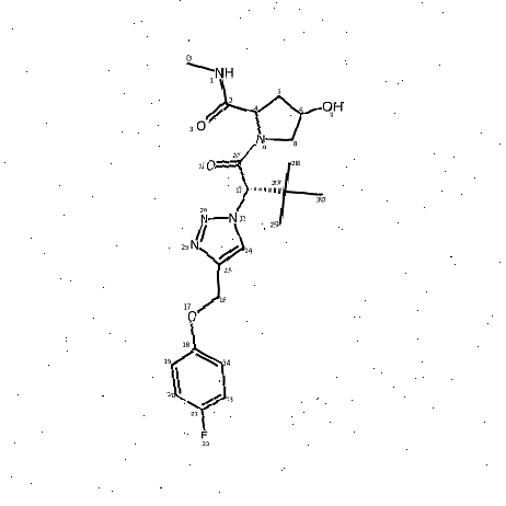 CNC(=O)C1CC(O)CN1C(=O)[C@@H](n1cc(COc2ccc(F)cc2)nn1)C(C)(C)C